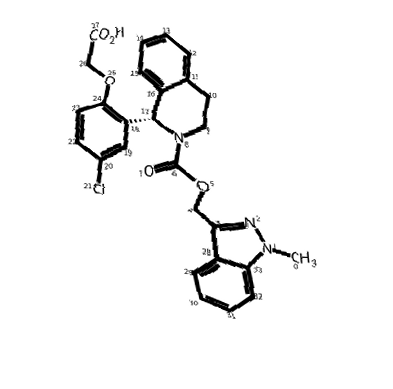 Cn1nc(COC(=O)N2CCc3ccccc3[C@H]2c2cc(Cl)ccc2OCC(=O)O)c2ccccc21